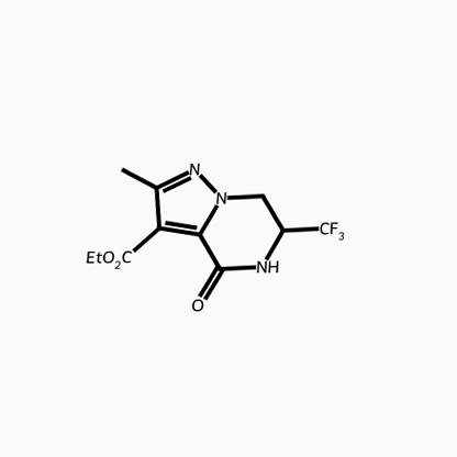 CCOC(=O)c1c(C)nn2c1C(=O)NC(C(F)(F)F)C2